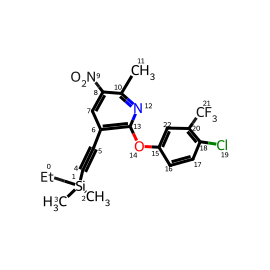 CC[Si](C)(C)C#Cc1cc([N+](=O)[O-])c(C)nc1Oc1ccc(Cl)c(C(F)(F)F)c1